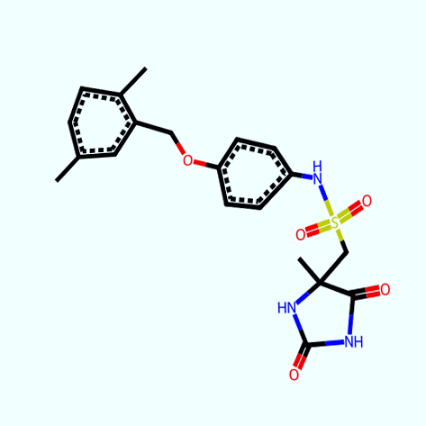 Cc1ccc(C)c(COc2ccc(NS(=O)(=O)CC3(C)NC(=O)NC3=O)cc2)c1